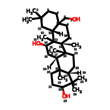 CC1(C)CC[C@]2(CO)CC[C@]3(C)C(C)([C@H](O)C[C@@H]4[C@@]5(C)CC[C@H](O)C(C)(C)[C@@H]5CC[C@]43C)[C@@H]2C1